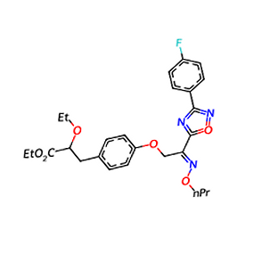 CCCO/N=C(\COc1ccc(CC(OCC)C(=O)OCC)cc1)c1nc(-c2ccc(F)cc2)no1